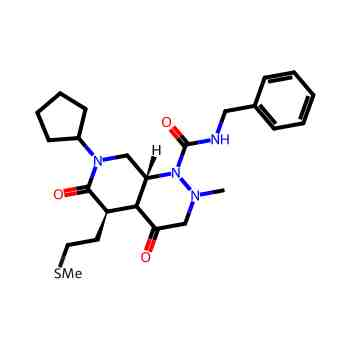 CSCC[C@H]1C(=O)N(C2CCCC2)C[C@H]2C1C(=O)CN(C)N2C(=O)NCc1ccccc1